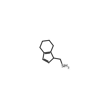 [SiH3]CC1[C]=CC2=C1CCCC2